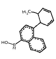 CC1C=CC=CC1c1ccc(BO)c2ccccc12